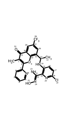 Cc1c(-c2ccccn2)oc2c([C@@H](C)Nc3ccc(Cl)nc3/C(N)=N/O)cc(C(F)(F)F)cc2c1=O